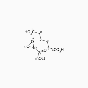 CCCCCCCCC(=O)n1oo1.O=C(O)CCCCC(=O)O